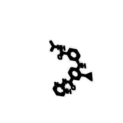 CC(C)NC(=O)c1cccc(Nc2ccc(C(=O)N=c3nccc[nH]3)cc2C2CC2)c1